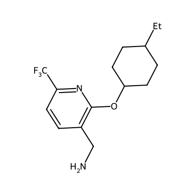 CCC1CCC(Oc2nc(C(F)(F)F)ccc2CN)CC1